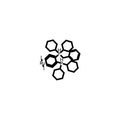 [I][Ru][I].c1ccc(C([PH](C2CCCCC2)(C2CCCCC2)C2CCCCC2)[PH](C2CCCCC2)(C2CCCCC2)C2CCCCC2)cc1